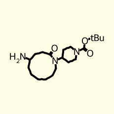 CC(C)(C)OC(=O)N1CCC(N2CCCCCCC(N)CCC2=O)CC1